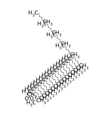 CCCCCC.CCCCCC.CCCCCC.CCCCCC.CCCCCC.CCCCCC.CCCCCC.CCCCCC.CCCCCC.CCCCCC.CCCCCC.CCCCCC.CCCCCC.CCCCCC.CCCCCC.CCCCCC.CCCCCC.CCCCCC.CCCCCC.CCCCCC.CCOC(C)=O